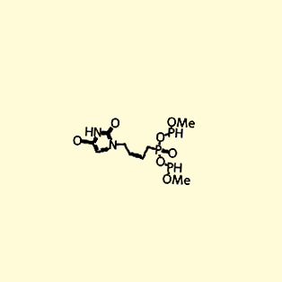 COPOP(=O)(C/C=C\Cn1ccc(=O)[nH]c1=O)OPOC